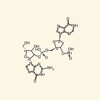 Nc1nc2c(ncn2[C@@H]2O[C@H](CO)C(O)C2OP(=O)(O)OC[C@H]2O[C@@H](n3cnc4c(=O)[nH]cnc43)CC2O[PH](=O)O)c(=O)[nH]1